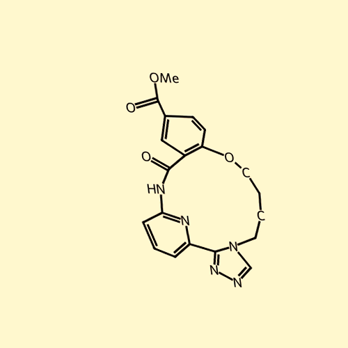 COC(=O)c1ccc2c(c1)C(=O)Nc1cccc(n1)-c1nncn1CCCCO2